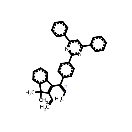 C=CC1=C(/C(=C\C)c2ccc(-c3nc(-c4ccccc4)cc(-c4ccccc4)n3)cc2)c2ccccc2C1(C)C